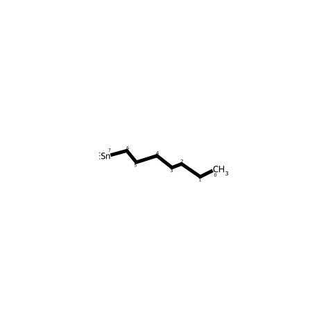 CCCCCC[CH2][Sn]